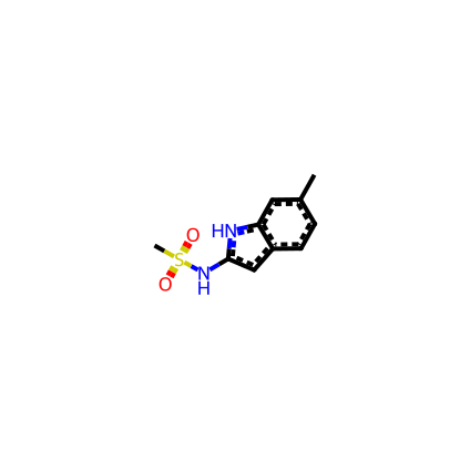 Cc1ccc2cc(NS(C)(=O)=O)[nH]c2c1